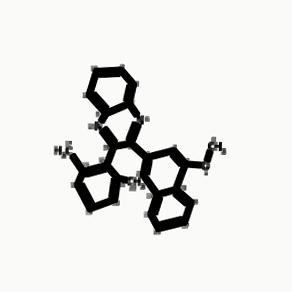 COc1cc(-c2nc3ccccc3nc2-c2c(C)cccc2C)cc2ccccc12